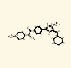 CN1CCC(N(C)C(=O)c2ccc(-c3nn(C)c(=NC4CCCCC4)s3)cc2)CC1